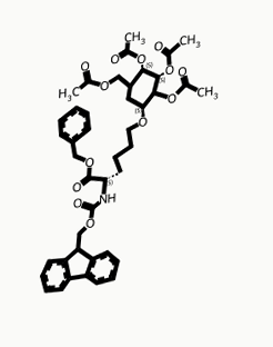 CC(=O)OCC1C[C@H](OCCCC[C@H](NC(=O)OCC2c3ccccc3-c3ccccc32)C(=O)OCc2ccccc2)C(OC(C)=O)[C@@H](OC(C)=O)[C@H]1OC(C)=O